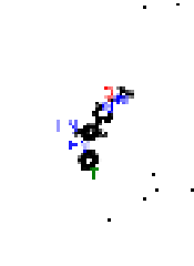 Cc1cc(Nc2ccc(F)cc2)c(C=N)cc1C1CCN(C(=O)NC(C)C)CC1